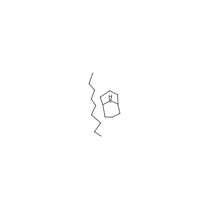 B1C2CCCC1CCC2.CCCCCCCCC